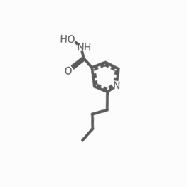 CCCCc1cc(C(=O)NO)ccn1